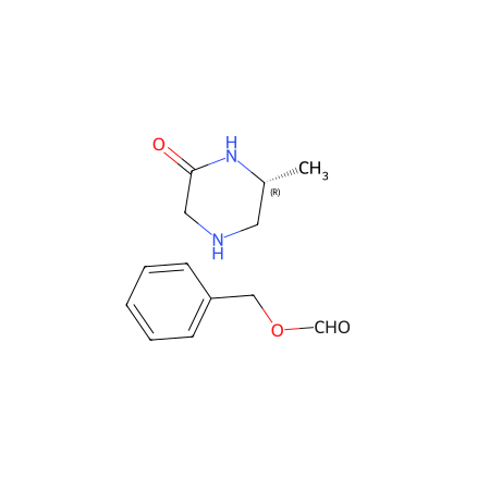 C[C@@H]1CNCC(=O)N1.O=COCc1ccccc1